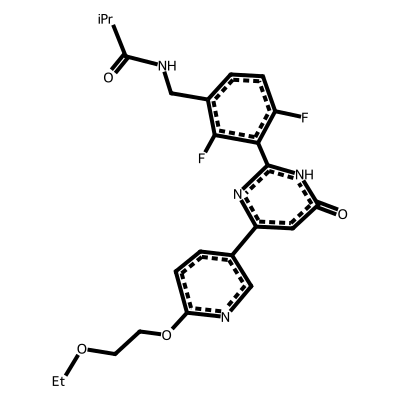 CCOCCOc1ccc(-c2cc(=O)[nH]c(-c3c(F)ccc(CNC(=O)C(C)C)c3F)n2)cn1